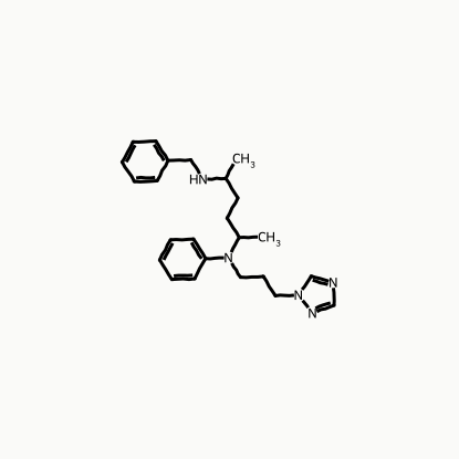 CC(CCC(C)N(CCCn1cncn1)c1ccccc1)NCc1ccccc1